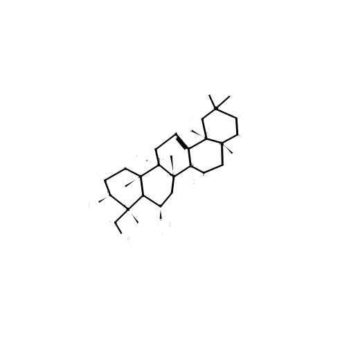 CC1(C)CC[C@]2(C(=O)O)CC[C@]3(C)C(=CC[C@@H]4[C@@]5(C)C[C@@H](O)[C@H](O)[C@@](C)(CO)C5[C@H](O)C[C@]43C)[C@@H]2C1